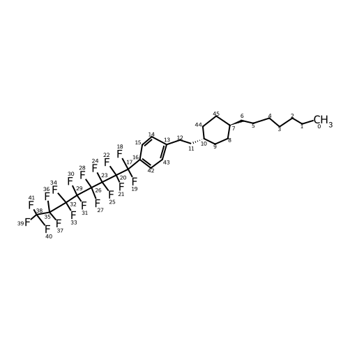 CCCCCCC[C@H]1CC[C@H](CCc2ccc(C(F)(F)C(F)(F)C(F)(F)C(F)(F)C(F)(F)C(F)(F)C(F)(F)C(F)(F)F)cc2)CC1